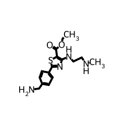 CCOC(=O)c1sc(-c2ccc(CN)cc2)nc1NCCNC